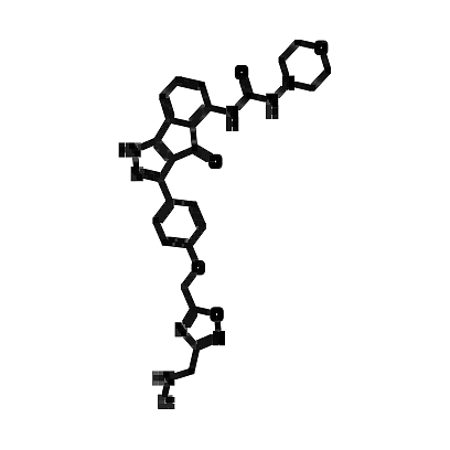 CCNCc1noc(COc2ccc(-c3n[nH]c4c3C(=O)c3c(NC(=O)NN5CCOCC5)cccc3-4)cc2)n1